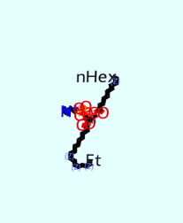 CC/C=C\C/C=C\C/C=C\CCCCCCCC(=O)O[C@H](COC(=O)CCCCCCC/C=C\CCCCCC)COP(=O)([O-])OCC[N+](C)(C)C